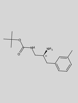 Cc1cccc(C[C@H](N)CNC(=O)OC(C)(C)C)c1